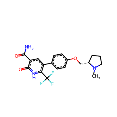 CN1CCC[C@H]1COc1ccc(-c2cc(C(N)=O)c(=O)[nH]c2C(F)(F)F)cc1